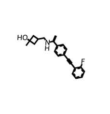 C=C(NCC1CC(C)(O)C1)c1ccc(C#Cc2ccccc2F)cc1